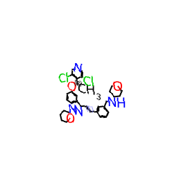 C[C@@H](Oc1ccc2c(c1)c(/C=C/c1cccc(CNC3CCOCC3)c1)nn2C1CCCCO1)c1c(Cl)cncc1Cl